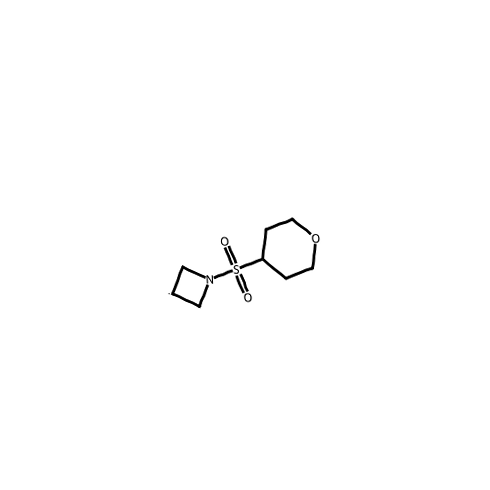 O=S(=O)(C1CCOCC1)N1C[CH]C1